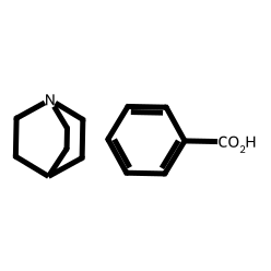 C1CN2CCC1CC2.O=C(O)c1ccccc1